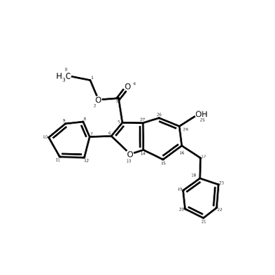 CCOC(=O)c1c(-c2ccccc2)oc2cc(Cc3ccccc3)c(O)cc12